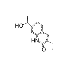 CCc1cc2ccc(C(C)O)cc2[nH]c1=O